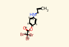 C=CCNc1ccc(OC(=O)C(Br)(Br)Br)cc1